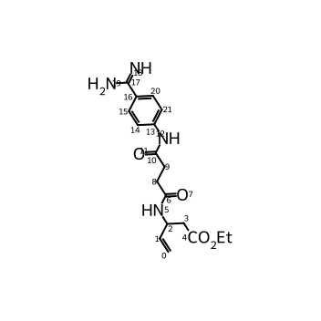 C=CC(CC(=O)OCC)NC(=O)CCC(=O)Nc1ccc(C(=N)N)cc1